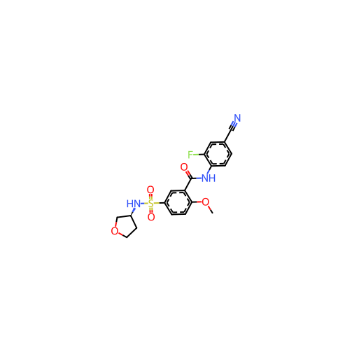 COc1ccc(S(=O)(=O)N[C@H]2CCOC2)cc1C(=O)Nc1ccc(C#N)cc1F